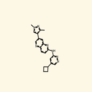 Cc1nn(C)cc1-c1cnc2ccc(Nc3cc(C4CCC4)cnn3)nc2c1